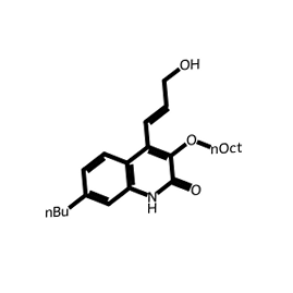 CCCCCCCCOc1c(C=CCO)c2ccc(CCCC)cc2[nH]c1=O